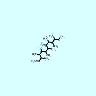 BC(CC)C(C)C(C)C(B)C(C)C(O)C(C)C(B)C(C)CC